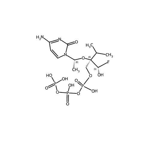 CC(C)[C@](COP(=O)(O)OP(=O)(O)OP(=O)(O)O)(O[C@H](C)n1ccc(N)nc1=O)[C@@H](O)F